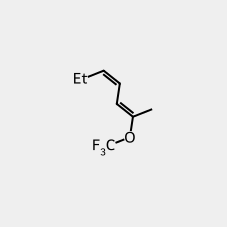 CC/C=C\C=C(/C)OC(F)(F)F